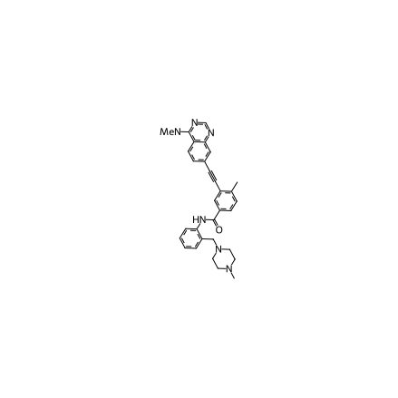 CNc1ncnc2cc(C#Cc3cc(C(=O)Nc4ccccc4CN4CCN(C)CC4)ccc3C)ccc12